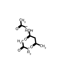 CC(=O)CC(=O)O.CC(C)=O.CC(C)=O